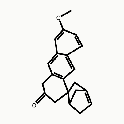 COc1ccc2cc3c(cc2c1)CC(=O)CC31CC2=CCC1C2